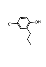 CCCc1cc(Cl)ccc1O